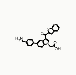 NCc1ccc(-c2ccc3c(c2)c(C(=O)c2cc4ccccc4s2)cn3CC(=O)O)cc1